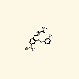 CCN(CC)c1ccc(/C=N/NC(N)=S)c(OCc2cccc(C)c2)c1